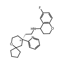 Fc1ccc2c(c1)C(NCC[C@@]1(c3ccccn3)CCOC3(CCCC3)C1)CCO2